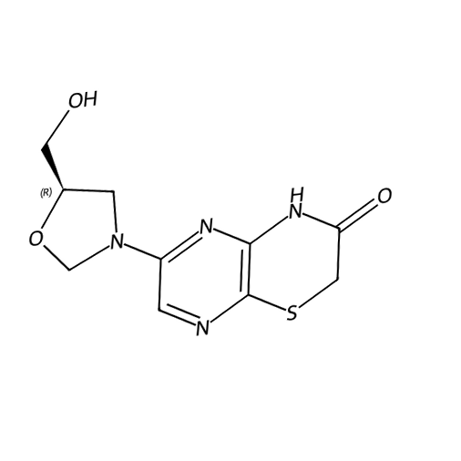 O=C1CSc2ncc(N3CO[C@@H](CO)C3)nc2N1